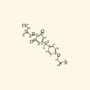 C[C@H](CF)COc1ccc(C(C)(C)c2cc(Cl)c(OC[C@@H](C)CCl)c(Cl)c2)cc1